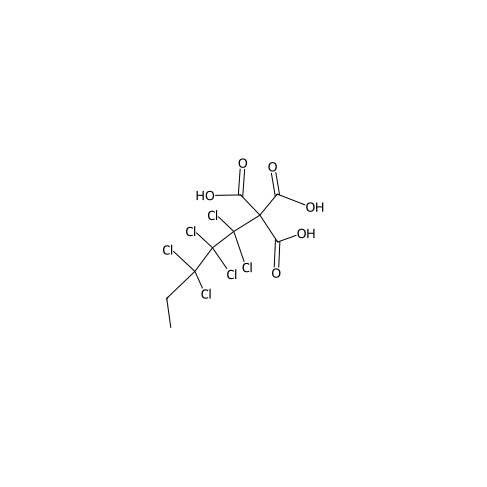 CCC(Cl)(Cl)C(Cl)(Cl)C(Cl)(Cl)C(C(=O)O)(C(=O)O)C(=O)O